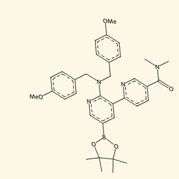 COc1ccc(CN(Cc2ccc(OC)cc2)c2ncc(B3OC(C)(C)C(C)(C)O3)cc2-c2ccc(C(=O)N(C)C)cn2)cc1